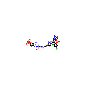 C/C(C#Cc1ccc(C(F)(F)C(O)(Cn2cnnn2)c2ccc(F)cc2F)nc1)=C\C=C(/C)C(=O)NCc1ccc(S(C)(=O)=O)cc1